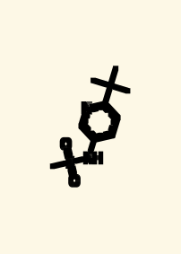 CC(C)(C)c1ccc(NS(C)(=O)=O)cn1